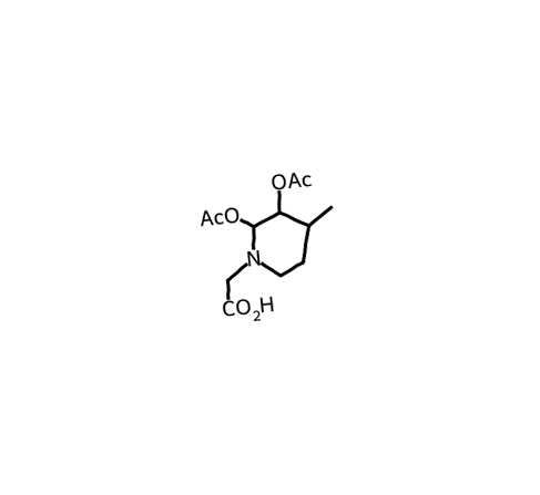 CC(=O)OC1C(C)CCN(CC(=O)O)C1OC(C)=O